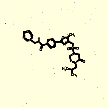 Cc1oc(-c2ccc(C(=O)NCc3cccnc3)cc2)nc1CS(=O)(=O)C1CCN(CC(C)C)C(=O)C1